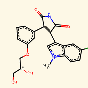 Cn1cc(C2=C(c3cccc(OC[C@H](O)CO)c3)C(=O)NC2=O)c2cc(F)ccc21